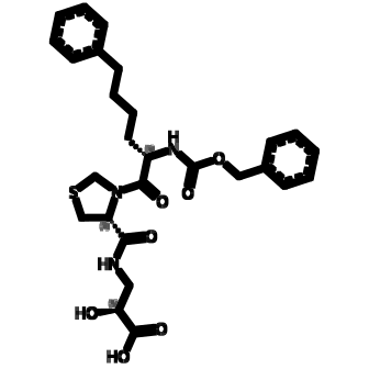 O=C(N[C@@H](CCCCc1ccccc1)C(=O)N1CSC[C@H]1C(=O)NC[C@H](O)C(=O)O)OCc1ccccc1